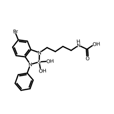 O=C(O)NCCCCN1c2cc(Br)ccc2N(c2ccccc2)S1(O)O